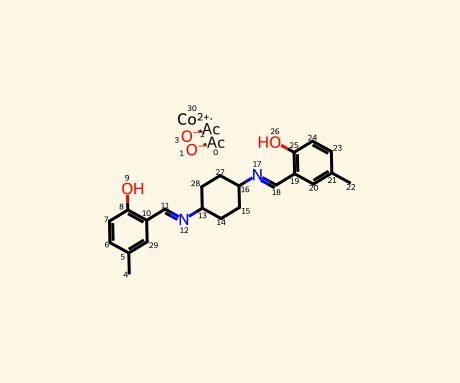 CC(=O)[O-].CC(=O)[O-].Cc1ccc(O)c(C=NC2CCC(N=Cc3cc(C)ccc3O)CC2)c1.[Co+2]